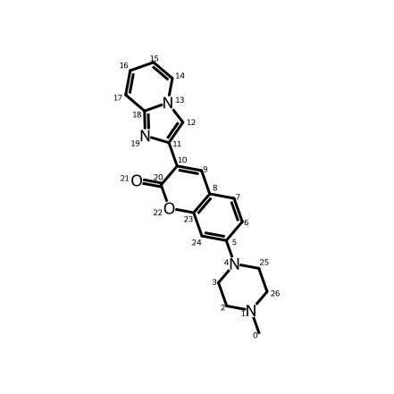 CN1CCN(c2ccc3cc(-c4cn5ccccc5n4)c(=O)oc3c2)CC1